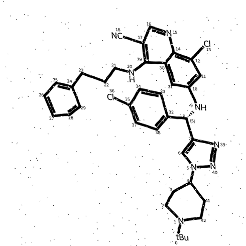 CC(C)(C)N1CCC(n2cc([C@@H](Nc3cc(Cl)c4ncc(C#N)c(NCCCc5ccccc5)c4c3)c3ccc(Cl)cc3)nn2)CC1